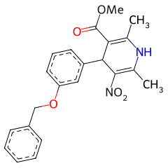 COC(=O)C1=C(C)NC(C)=C([N+](=O)[O-])C1c1cccc(OCc2ccccc2)c1